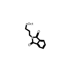 CCCCCCCCCCCN1C(=O)c2ccccc2C1=O